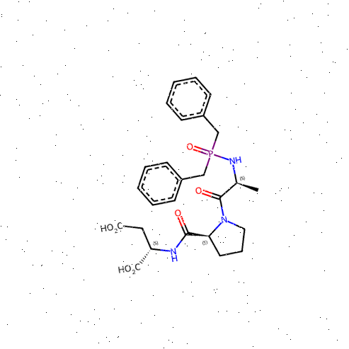 C[C@H](NP(=O)(Cc1ccccc1)Cc1ccccc1)C(=O)N1CCC[C@H]1C(=O)N[C@@H](CC(=O)O)C(=O)O